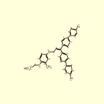 CC(=O)c1ccc(-c2ccc(C(=CCOc3ccc(OCC(=O)O)c(C)c3)c3ccc(-c4ccc(C(C)=O)cc4)cc3)cc2)cc1